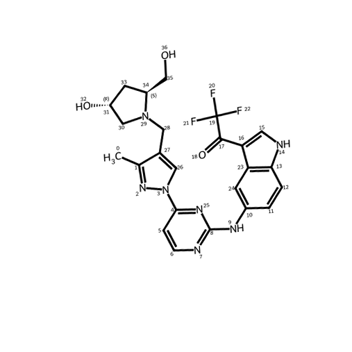 Cc1nn(-c2ccnc(Nc3ccc4[nH]cc(C(=O)C(F)(F)F)c4c3)n2)cc1CN1C[C@H](O)C[C@H]1CO